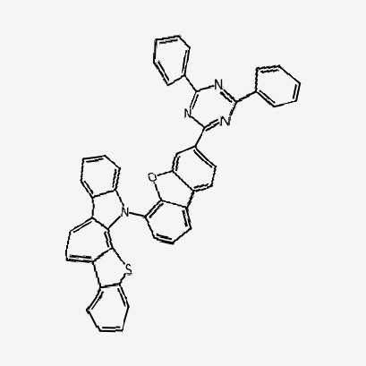 c1ccc(-c2nc(-c3ccccc3)nc(-c3ccc4c(c3)oc3c(-n5c6ccccc6c6ccc7c8ccccc8sc7c65)cccc34)n2)cc1